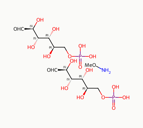 CON.O=C[C@@H](O)[C@@H](O)[C@H](O)[C@H](O)COP(=O)(O)O.O=C[C@@H](O)[C@@H](O)[C@H](O)[C@H](O)COP(=O)(O)O